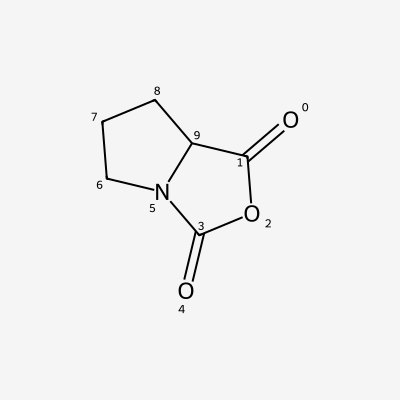 O=C1OC(=O)N2CCCC12